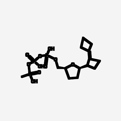 CP(=O)(O)OP(=O)(O)OP(=O)(O)OC[C@@H]1CC[C@H](C2CCC2=C2CCC2)O1